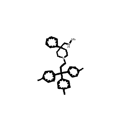 CCCNCC1(c2ccccc2)CCN(CCC(c2ccc(C)cc2)(c2ccc(C)cc2)c2ccc(C)cc2)CC1